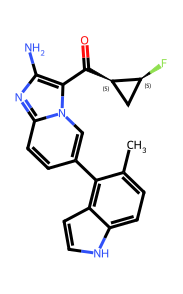 Cc1ccc2[nH]ccc2c1-c1ccc2nc(N)c(C(=O)[C@@H]3C[C@@H]3F)n2c1